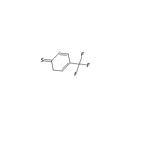 FC(F)(F)C1=CCC(=S)[C]=C1